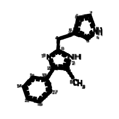 Cc1[nH]c(Cc2cc[nH]c2)nc1-c1ccccc1